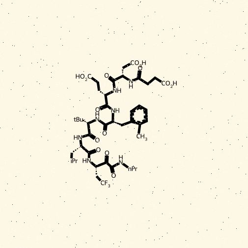 CCCNC(=O)C(=O)[C@H](CC(F)(F)F)NC(=O)[C@H](CC(C)C)NC(=O)[C@@H](NC(=O)[C@H](Cc1ccccc1C)NC(=O)[C@H](CCC(=O)O)NC(=O)[C@H](CC(=O)O)NC(=O)CCC(=O)O)C(C)(C)C